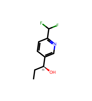 CC[C@H](O)c1ccc(C(F)F)nc1